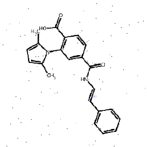 Cc1ccc(C)n1-c1cc(C(=O)N/C=C/c2ccccc2)ccc1C(=O)O